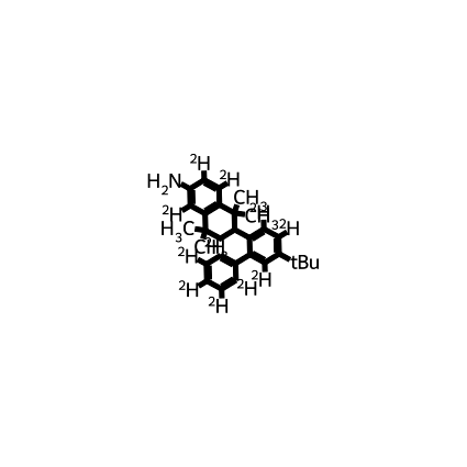 [2H]c1c([2H])c([2H])c(-c2c([2H])c(C(C)(C)C)c([2H])c([2H])c2C2CC(C)(C)c3c([2H])c(N)c([2H])c([2H])c3C2(C)C)c([2H])c1[2H]